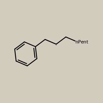 CCCCCC[CH]Cc1ccccc1